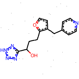 OC(CCc1occc1Cc1ccncc1)c1nn[nH]n1